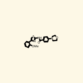 COc1ccccc1-c1csc(NC(=O)c2ccc(N3CCOCC3)cc2)n1